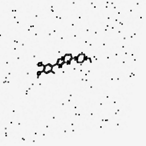 CCN1CCN(c2ccn3cc(-c4cc(Cl)c(OC)cc4C)nc3n2)CC1